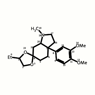 CCC1COC2(CCC3(c4ccc(OC)c(OC)c4)CCN(C)C3C2)O1